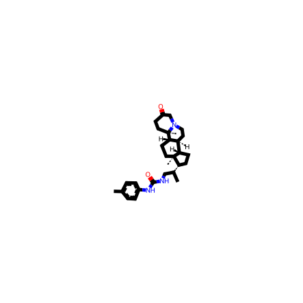 Cc1ccc(NC(=O)NCC(C)[C@H]2CC[C@H]3[C@@H]4CCN5CC(=O)CC[C@]5(C)[C@H]4CC[C@]23C)cc1